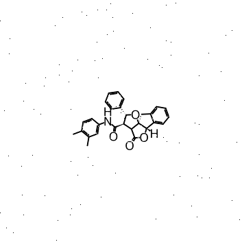 Cc1ccc(NC(=O)[C@@H]2C3C(=O)O[C@H]4c5ccccc5C[C@@]34O[C@H]2c2ccccc2)cc1C